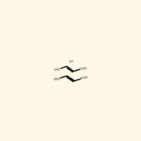 O=C([O-])/C=C/C(=O)[O-].O=C([O-])/C=C/C(=O)[O-].[Ti+4]